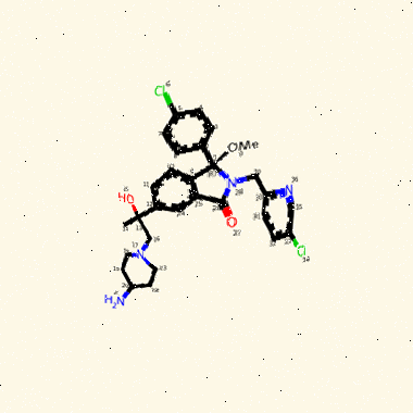 CO[C@]1(c2ccc(Cl)cc2)c2ccc(C(C)(O)CN3CCC(N)CC3)cc2C(=O)N1Cc1ccc(Cl)cn1